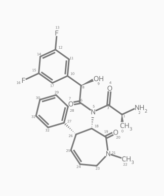 C[C@H](N)C(=O)N(C(=O)[C@H](O)c1cc(F)cc(F)c1)[C@@H]1C(=O)N(C)CC=C[C@@H]1c1ccccc1